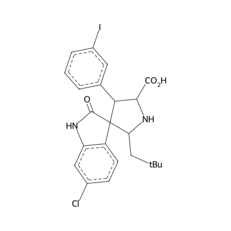 CC(C)(C)CC1NC(C(=O)O)C(c2cccc(I)c2)C12C(=O)Nc1cc(Cl)ccc12